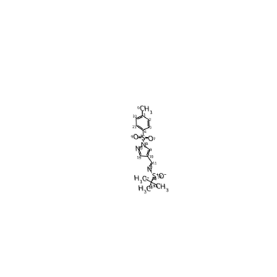 Cc1ccc(S(=O)(=O)n2cc(C=N[S@+]([O-])C(C)(C)C)cn2)cc1